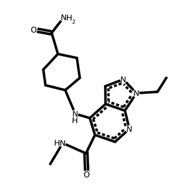 CCn1ncc2c(NC3CCC(C(N)=O)CC3)c(C(=O)NC)cnc21